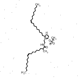 CCCCCCCC/C=C\CCCCCCCCC1=[N+](CCNC(=O)C(C)CCCCCC/C=C\CCCCCCCC)CCN1.COS(=O)(=O)[O-]